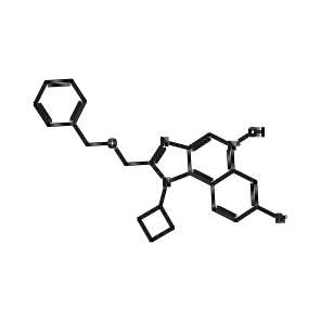 O[n+]1cc2nc(COCc3ccccc3)n(C3CCC3)c2c2ccc(Br)cc21